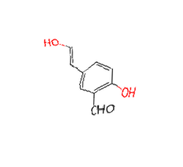 O=Cc1cc(/C=C/O)ccc1O